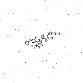 CN(C(=O)O)C(C)(C)C=C(C#N)C(=O)N1CCC[C@H]1Cn1nc(-c2ccc(Oc3ccccc3)cc2F)c2c(N)ncnc21